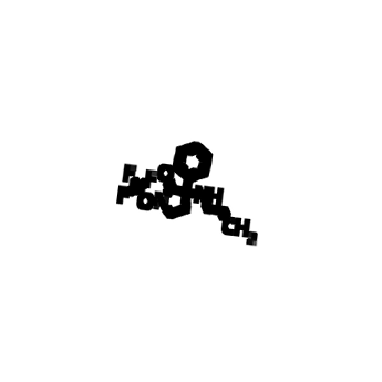 C=CCNC1(c2ccccc2)CCN(OC(F)(F)F)C1=O